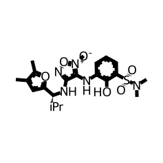 Cc1cc([C@H](Nc2no[n+]([O-])c2Nc2cccc(S(=O)(=O)N(C)C)c2O)C(C)C)oc1C